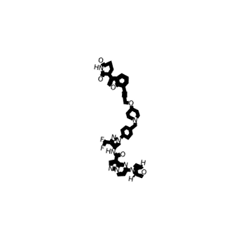 O=C1CCC(c2coc3c(C#CCOC4CCN(CC5CCC(n6cc(NC(=O)c7cnn8ccc(N9C[C@H]%10C[C@@H]9CO%10)nc78)c(C(F)F)n6)CC5)CC4)cccc23)C(=O)N1